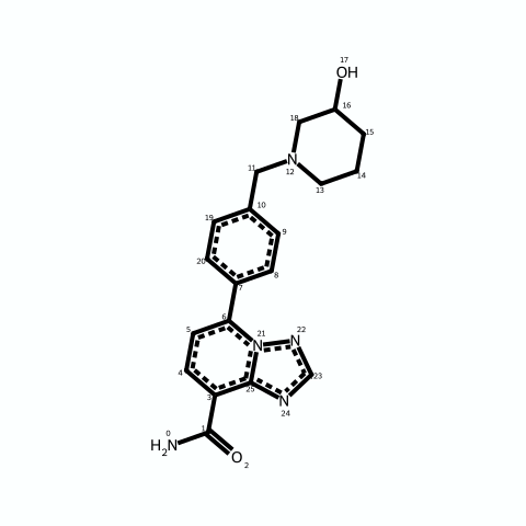 NC(=O)c1ccc(-c2ccc(CN3CCCC(O)C3)cc2)n2n[c]nc12